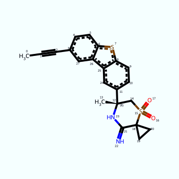 CC#Cc1ccc2sc3ccc([C@]4(C)CS(=O)(=O)C5(CC5)C(=N)N4)cc3c2c1